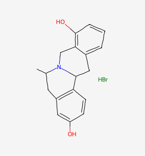 Br.CC1Cc2cc(O)ccc2C2Cc3cccc(O)c3CN12